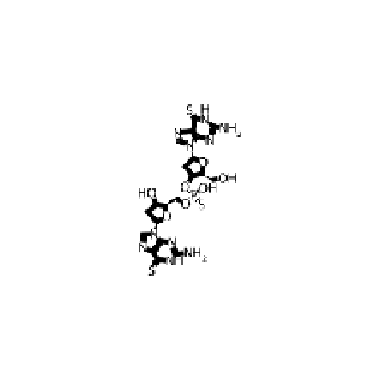 Nc1nc2c(ncn2[C@H]2CC(O)[C@@H](COP(O)(=S)OC3C[C@H](n4cnc5c(=S)[nH]c(N)nc54)O[C@@H]3CO)O2)c(=S)[nH]1